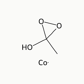 CC1(O)OO1.[Co]